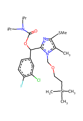 CSc1nc(C(OC(=O)N(C(C)C)C(C)C)c2ccc(F)c(Cl)c2)n(COCC[Si](C)(C)C)c1C